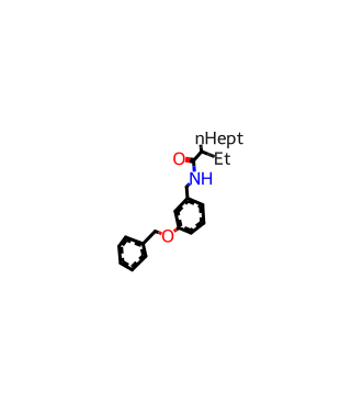 CCCCCCCC(CC)C(=O)NCc1cccc(OCc2ccccc2)c1